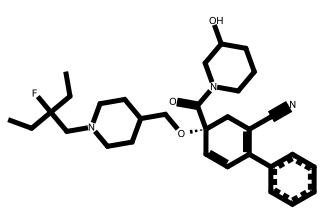 CCC(F)(CC)CN1CCC(CO[C@@]2(C(=O)N3CCCC(O)C3)C=CC(c3ccccc3)=C(C#N)C2)CC1